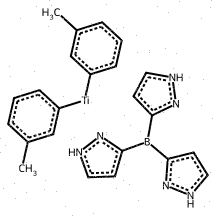 Cc1ccc[c]([Ti][c]2cccc(C)c2)c1.c1cc(B(c2cc[nH]n2)c2cc[nH]n2)n[nH]1